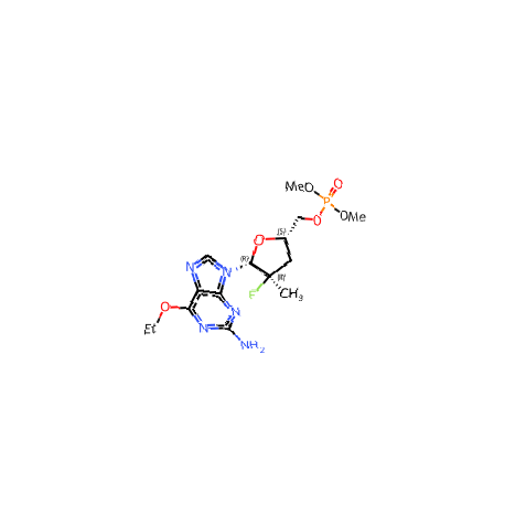 CCOc1nc(N)nc2c1ncn2[C@@H]1O[C@H](COP(=O)(OC)OC)C[C@@]1(C)F